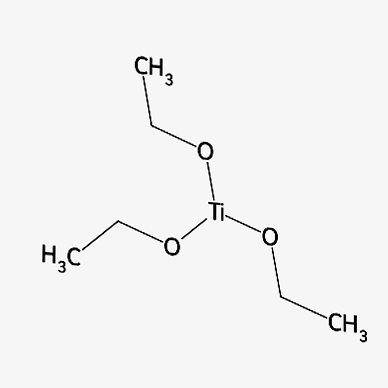 CC[O][Ti]([O]CC)[O]CC